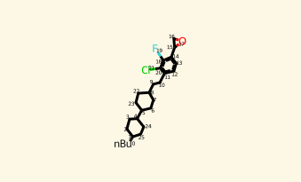 CCCCC1CCC(C2CCC(CCc3ccc(C4CO4)c(F)c3Cl)CC2)CC1